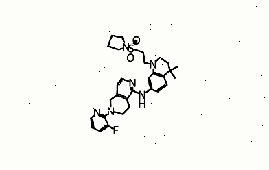 CC1(C)CCN(CCS(=O)(=O)N2CCCC2)c2cc(Nc3nccc4c3CCN(c3ncccc3F)C4)ccc21